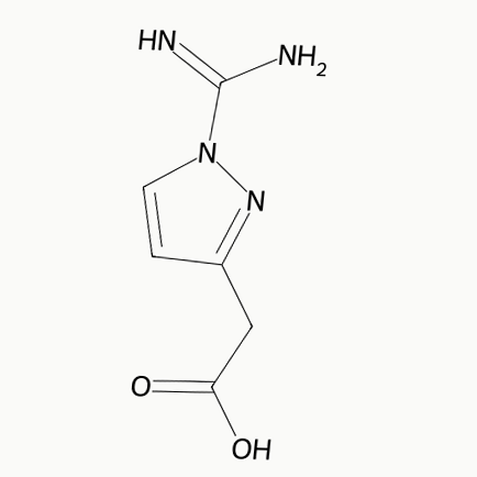 N=C(N)n1ccc(CC(=O)O)n1